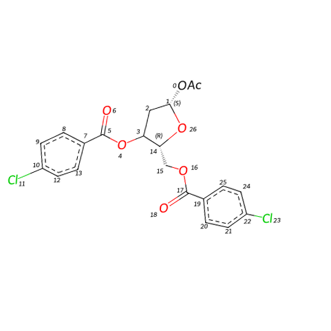 CC(=O)O[C@H]1CC(OC(=O)c2ccc(Cl)cc2)[C@@H](COC(=O)c2ccc(Cl)cc2)O1